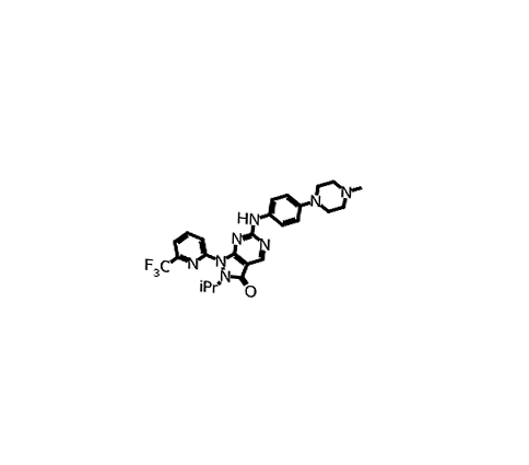 CC(C)n1c(=O)c2cnc(Nc3ccc(N4CCN(C)CC4)cc3)nc2n1-c1cccc(C(F)(F)F)n1